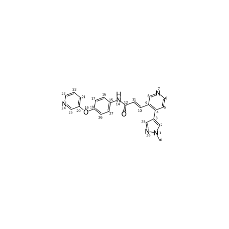 Cn1cc(-c2ccncc2/C=C/C(=O)Nc2ccc(Oc3cccnc3)cc2)cn1